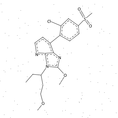 CCC(CCOC)n1c(OC)nc2c(-c3ccc(S(C)(=O)=O)cc3Cl)ccnc21